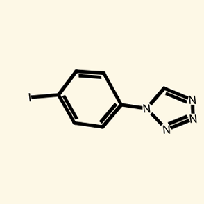 Ic1ccc(-n2cnnn2)cc1